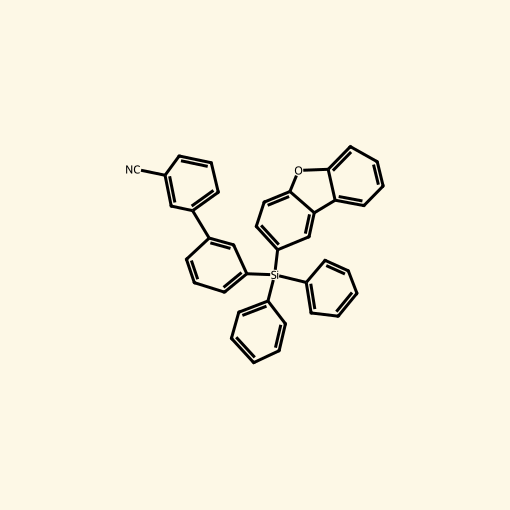 N#Cc1cccc(-c2cccc([Si](c3ccccc3)(c3ccccc3)c3ccc4oc5ccccc5c4c3)c2)c1